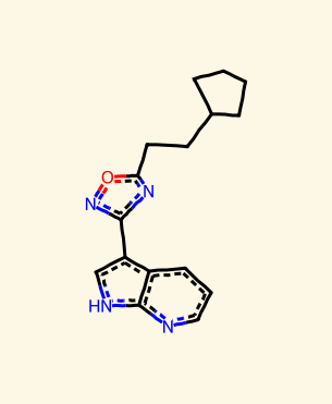 c1cnc2[nH]cc(-c3noc(CCC4CCCC4)n3)c2c1